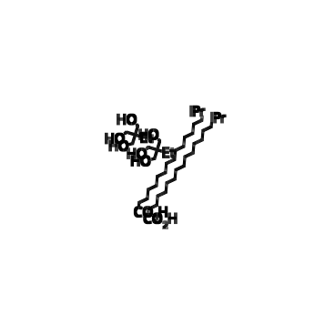 CC(C)CCCCCCCCCCCCCCC(=O)O.CC(C)CCCCCCCCCCCCCCC(=O)O.CCC(CO)(CO)CO.CCC(CO)(CO)CO